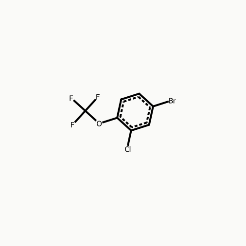 FC(F)(F)Oc1ccc(Br)cc1Cl